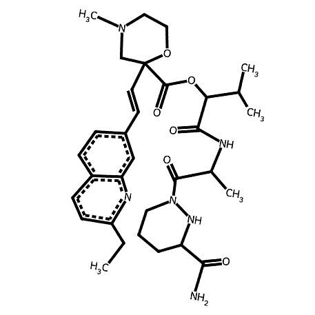 CCc1ccc2ccc(/C=C/C3(C(=O)OC(C(=O)NC(C)C(=O)N4CCCC(C(N)=O)N4)C(C)C)CN(C)CCO3)cc2n1